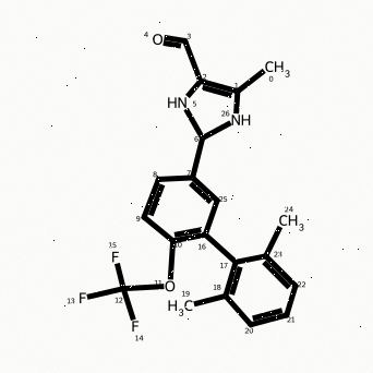 CC1=C(C=O)NC(c2ccc(OC(F)(F)F)c(-c3c(C)cccc3C)c2)N1